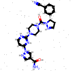 N#Cc1cccc([C@@H]2CC=NN2C(=O)N2CCN(c3nccc(-n4cc(C(N)=O)cn4)n3)CC2)c1